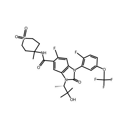 C[C@H](n1c(=O)n(-c2cc(OC(F)(F)F)ccc2F)c2cc(F)c(C(=O)NC3(C)CCS(=O)(=O)CC3)cc21)C(C)(C)O